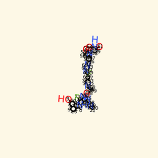 CCc1cccc2cc(O)cc(-c3ncc4c(C5CC6CCC(C5)N6)nc(OCC5(CN6CCC7(CC6)CC(F)(CN6CCN(c8ccc9c(c8)C(C)(C)C(=O)N9C8CCC(=O)NC8=O)CC6)C7)CC5)nc4c3F)c12